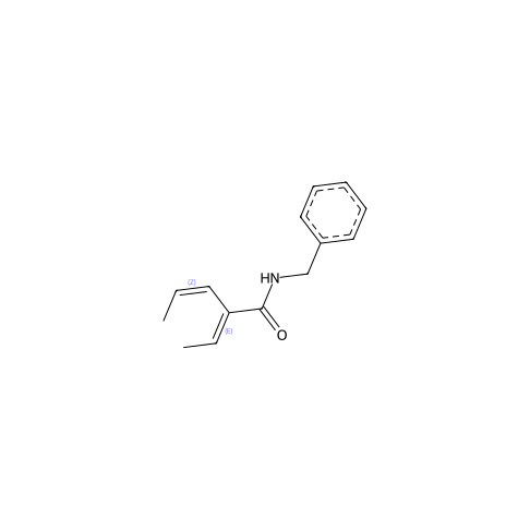 C/C=C\C(=C/C)C(=O)NCc1ccccc1